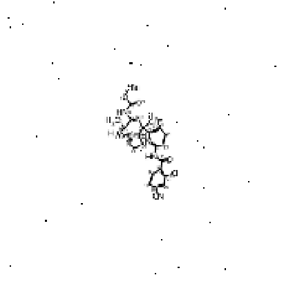 CC(C)(C)OC(=O)NC1=N[C@](C)(c2nc(NC(=O)c3ccc(C#N)cc3Cl)ccc2F)[C@@H]2CCN=[S@]2(=O)C1(C)C